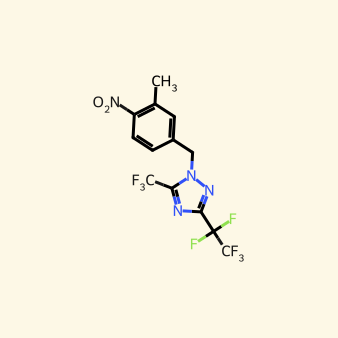 Cc1cc(Cn2nc(C(F)(F)C(F)(F)F)nc2C(F)(F)F)ccc1[N+](=O)[O-]